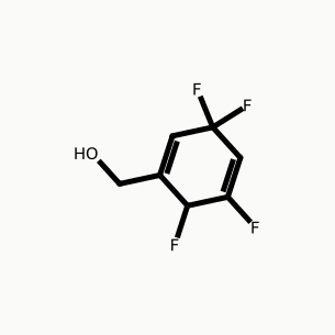 OCC1=CC(F)(F)C=C(F)C1F